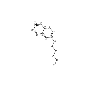 CCCCCCc1ccc2cnccc2c1